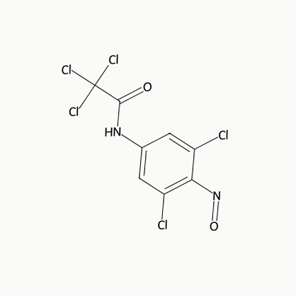 O=Nc1c(Cl)cc(NC(=O)C(Cl)(Cl)Cl)cc1Cl